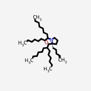 C=CCCC[C@@]1(C(=O)C(CCCCCC)CCCCCC)CCCN1C(CCCCCCC)CCCCCCC